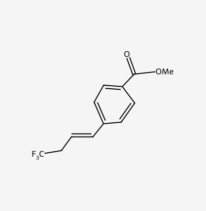 COC(=O)c1ccc(C=CCC(F)(F)F)cc1